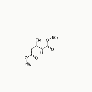 CC(C)(C)OC(=O)CC(C#N)NC(=O)OC(C)(C)C